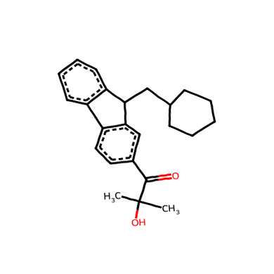 CC(C)(O)C(=O)c1ccc2c(c1)C(CC1CCCCC1)c1ccccc1-2